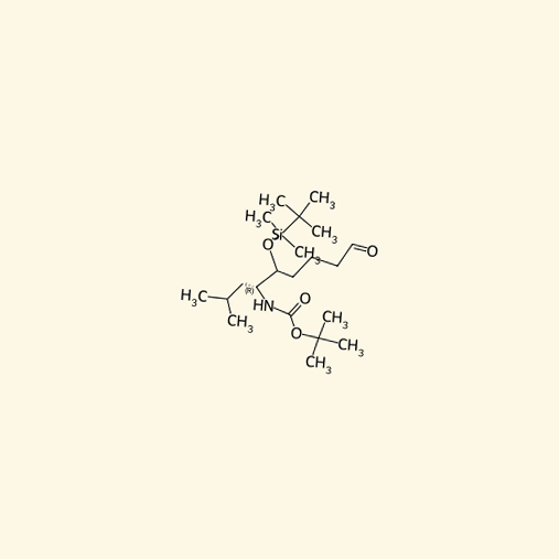 CC(C)C[C@@H](NC(=O)OC(C)(C)C)C(CCCC=O)O[Si](C)(C)C(C)(C)C